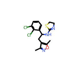 Cc1noc(C)c1CC(NC1=NCCS1)c1cccc(Cl)c1Cl